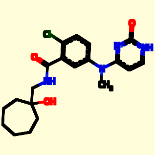 CN(c1ccc(Cl)c(C(=O)NCC2(O)CCCCCC2)c1)c1cc[nH]c(=O)n1